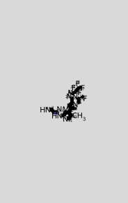 CN/C(=C\C=N)Nc1cc(-c2cc3n(c2)C[C@H](CF)n2c-3nnc2C(F)(F)C(F)F)c(C)cn1